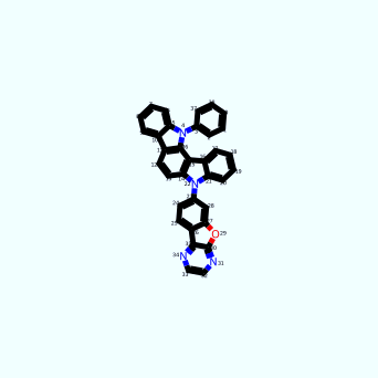 c1ccc(-n2c3ccccc3c3ccc4c(c5ccccc5n4-c4ccc5c(c4)oc4nccnc45)c32)cc1